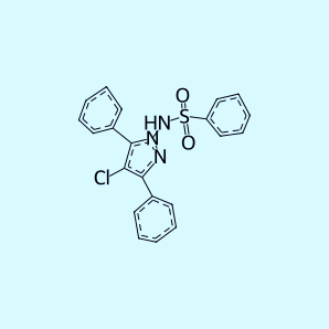 O=S(=O)(Nn1nc(-c2ccccc2)c(Cl)c1-c1ccccc1)c1ccccc1